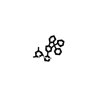 Cc1cc(C)nc(-n2ccnc2-c2ccc3c(c2)C(c2ccccc2)(c2ccccc2)c2ccccc2-3)c1